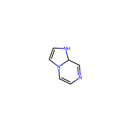 C1=CN2C=CNC2C=N1